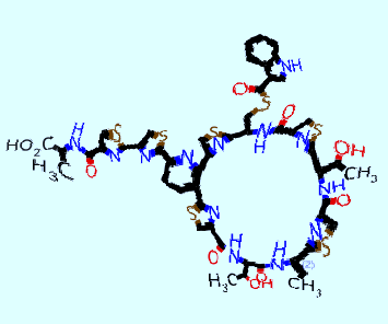 C/C=C1\NC(=O)C(C(C)O)NC(=O)c2csc(n2)-c2ccc(-c3nc(-c4nc(C(=O)NC(C)C(=O)O)cs4)cs3)nc2-c2csc(n2)C(CSC(=O)c2c[nH]c3ccccc23)NC(=O)C2CSC(=N2)C(C(C)O)NC(=O)c2csc1n2